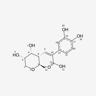 C[C@H]1OC[C@H](O)[C@H](O)[C@@H]1C=C(C(=O)O)c1ccc(O)c(O)c1